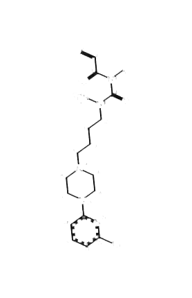 C=CC(=O)N(C)C(=O)N(N)CCCCN1CCN(c2cccc(I)n2)CC1